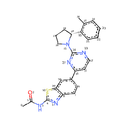 CC(=O)Nc1nc2ccc(-c3ccnc(N4CCC[C@@H]4c4ccccc4C)n3)cc2s1